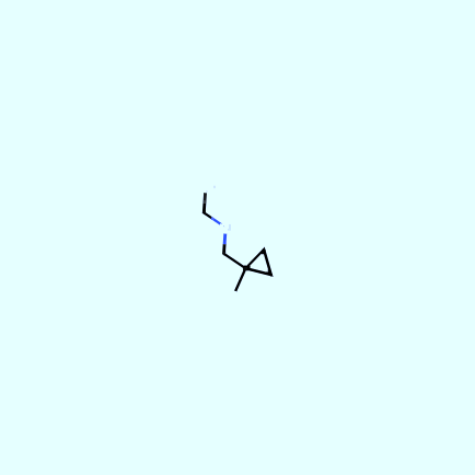 CC(C)(C)CNCC1(C)CC1